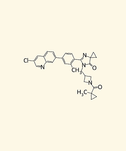 Cc1cc(-c2ccc3cc(Cl)cnc3c2)ccc1C1=NC2(CC2)C(=O)N1CC1CN(C(=O)C2(C)CC2)C1